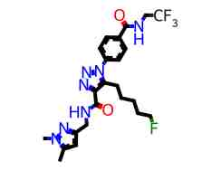 Cc1cc(CNC(=O)c2nnn(-c3ccc(C(=O)NCC(F)(F)F)cc3)c2CCCCCF)nn1C